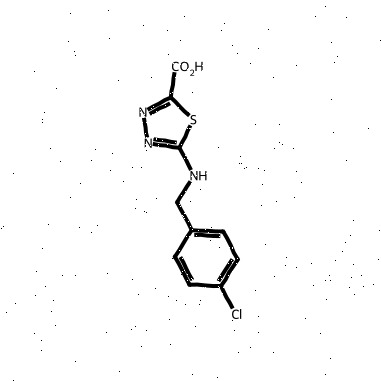 O=C(O)c1nnc(NCc2ccc(Cl)cc2)s1